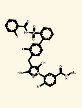 CCCCNC(=O)c1ccc(Br)c(-n2nc(CCCC)c(Cc3ccc(-c4ccccc4S(=O)(=O)NC(=O)c4ccccc4F)cc3F)c2C#N)c1